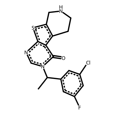 CC(c1cc(F)cc(Cl)c1)n1cnc2sc3c(c2c1=O)CCNC3